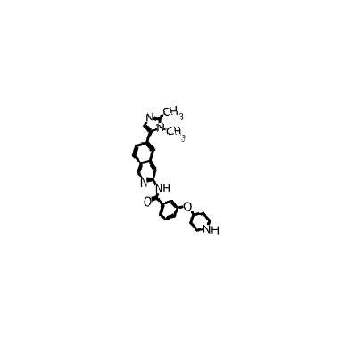 Cc1ncc(-c2ccc3cnc(NC(=O)c4cccc(OC5CCNCC5)c4)cc3c2)n1C